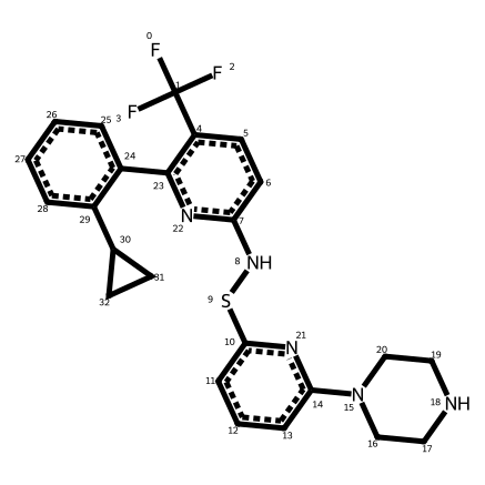 FC(F)(F)c1ccc(NSc2cccc(N3CCNCC3)n2)nc1-c1ccccc1C1CC1